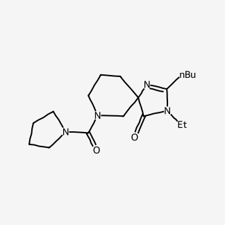 CCCCC1=NC2(CCCN(C(=O)N3CCCC3)C2)C(=O)N1CC